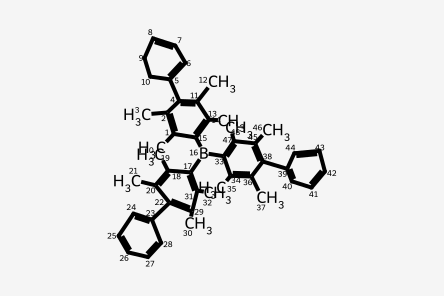 Cc1c(C)c(C2=CC=CCC2)c(C)c(C)c1B(c1c(C)c(C)c(-c2ccccc2)c(C)c1C)c1c(C)c(C)c(-c2ccccc2)c(C)c1C